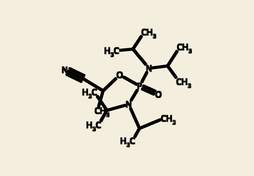 CC(C#N)OP(=O)(N(C(C)C)C(C)C)N(C(C)C)C(C)C